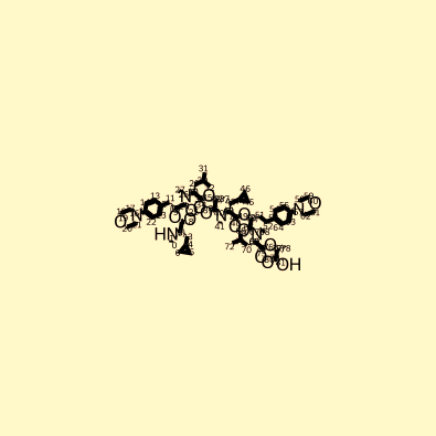 CN[C@@H](CC1CC1)C(=O)O[C@H](Cc1ccc(N2CCOCC2)cc1)C(=O)N(C)[C@@H](CC(C)C)C(=O)O[C@H](C)C(=O)N(C)[C@@H](CC1CC1)C(=O)O[C@H](CCc1ccc(N2CCOCC2)cc1)C(=O)N(C)[C@@H](CC(C)C)C(=O)O[C@H](C)C(=O)O